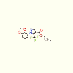 CCOC(=O)c1cnn(-c2cccc3c2OCCO3)c1C(F)(F)F